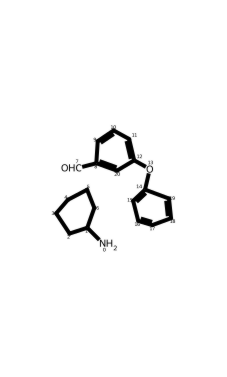 NC1CCCCC1.O=Cc1cccc(Oc2ccccc2)c1